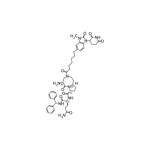 Cn1c(=O)n(C2CCC(=O)NC2=O)c2ccc(CCCCCCC(=O)N3CC[C@H]4CC[C@@H](C(=O)N[C@@H](CCC(N)=O)C(=O)NC(c5ccccc5)c5ccccc5)N4C(=O)[C@@H](N)C3)cc21